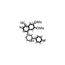 COc1cc2c(N3CCNC(c4ccc(F)cc4)C3)nc(C)c(C#N)c2cc1OC